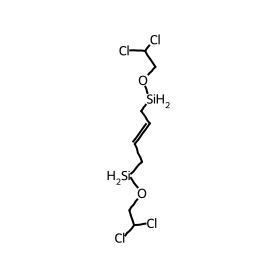 ClC(Cl)CO[SiH2]CC=CC[SiH2]OCC(Cl)Cl